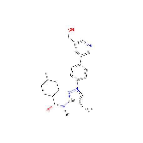 CC1CCC(C(=O)N(c2nn(-c3ccc(-c4cncc(CO)c4)cc3)cc2C(=O)O)C(C)C)CC1